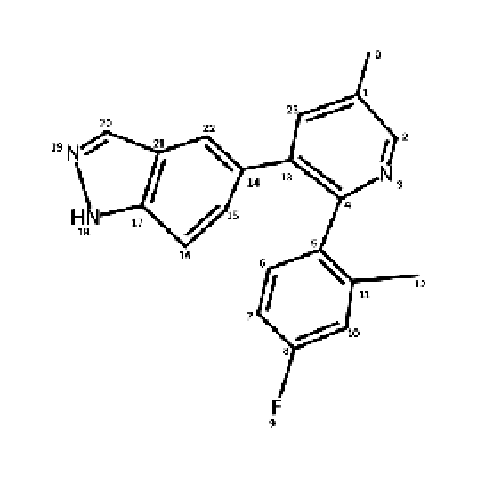 Cc1cnc(-c2ccc(F)cc2C)c(-c2ccc3[nH]ncc3c2)c1